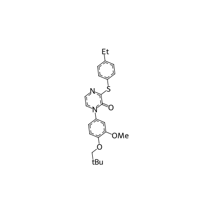 CCc1ccc(Sc2nccn(-c3ccc(OCC(C)(C)C)c(OC)c3)c2=O)cc1